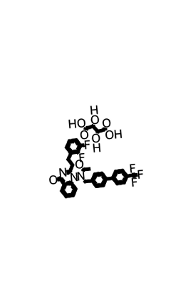 CC(=O)N(Cc1ccc(-c2ccc(C(F)(F)F)cc2)cc1)n1c(CCc2cccc(F)c2F)nc(=O)c2ccccc21.O=C(O)C(O)C(O)C(=O)O